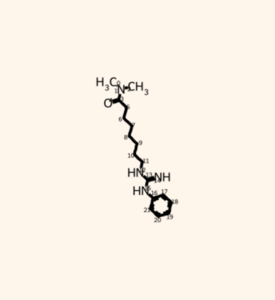 CN(C)C(=O)CCCCCCCNC(=N)Nc1ccccc1